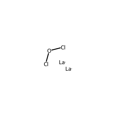 ClOCl.[La].[La]